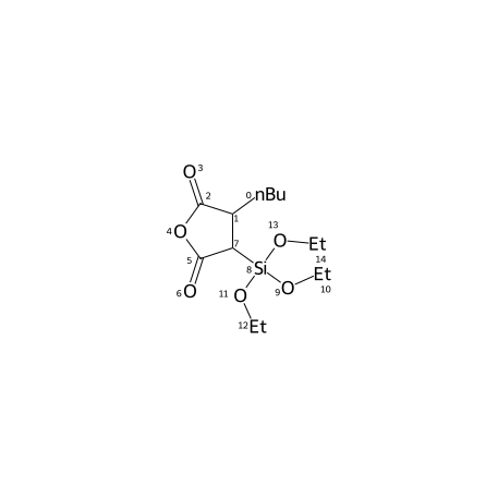 CCCCC1C(=O)OC(=O)C1[Si](OCC)(OCC)OCC